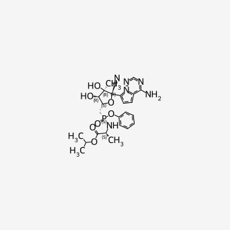 CC(C)OC(=O)[C@H](C)N[P@](=O)(C[C@H]1O[C@@](C#N)(c2ccc3c(N)ncnn23)[C@](C)(O)[C@@H]1O)Oc1ccccc1